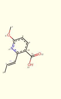 C/C=C/c1nc(OC)ccc1C(=O)O